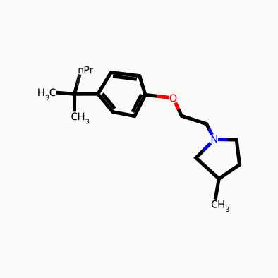 CCCC(C)(C)c1ccc(OCCN2CCC(C)C2)cc1